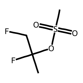 CC(F)(CF)OS(C)(=O)=O